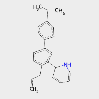 C=CCc1ccc(-c2ccc(C(C)C)cc2)cc1C1C=CC=CN1